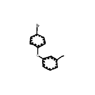 [CH2]c1cccc(Oc2ccc(Br)cc2)c1